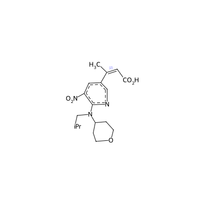 C/C(=C/C(=O)O)c1cnc(N(CC(C)C)C2CCOCC2)c([N+](=O)[O-])c1